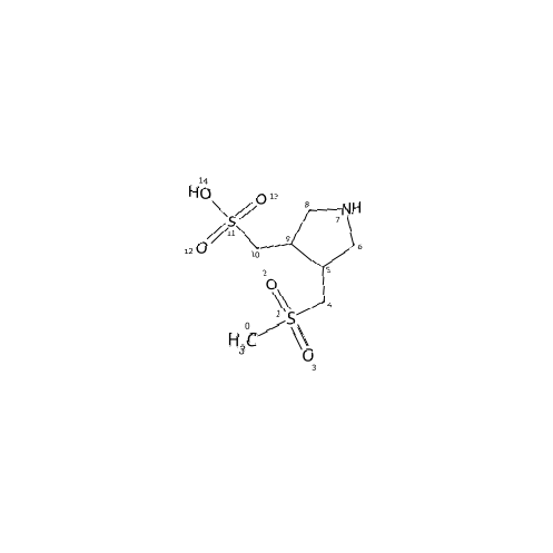 CS(=O)(=O)CC1CNCC1CS(=O)(=O)O